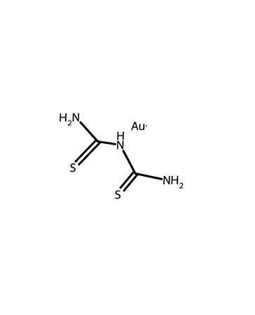 NC(=S)NC(N)=S.[Au]